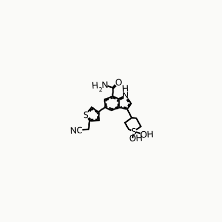 N#CCc1cc(-c2cc(C(N)=O)c3[nH]cc(C4CCS(O)(O)CC4)c3c2)cs1